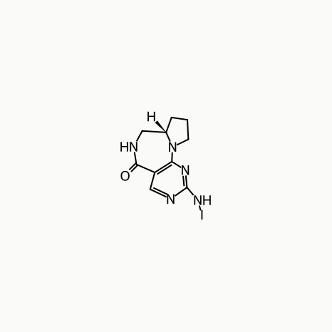 O=C1NC[C@@H]2CCCN2c2nc(NI)ncc21